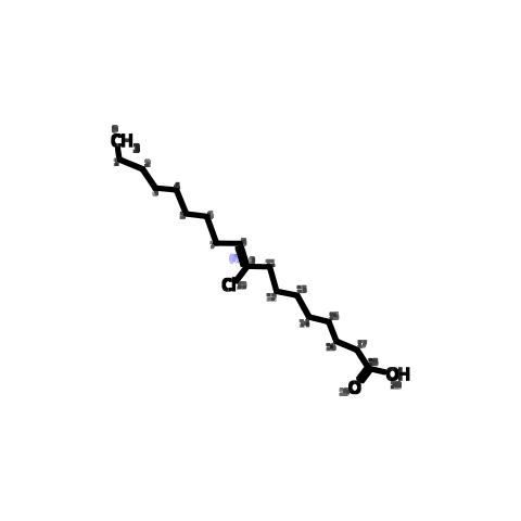 CCCCCCCC/C=C(\Cl)CCCCCCCC(=O)O